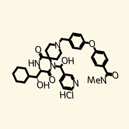 CNC(=O)c1ccc(Oc2ccc(CN3CCC4(CC3)C(=O)N[C@H]([C@H](O)C3CCCCC3)C(=O)N4C(O)c3cccnc3)cc2)cc1.Cl